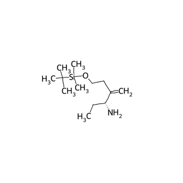 C=C(CCO[Si](C)(C)C(C)(C)C)[C@H](N)CC